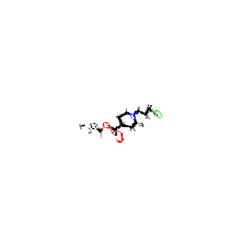 CCOC(=O)C1CCN(CCCCl)CC1